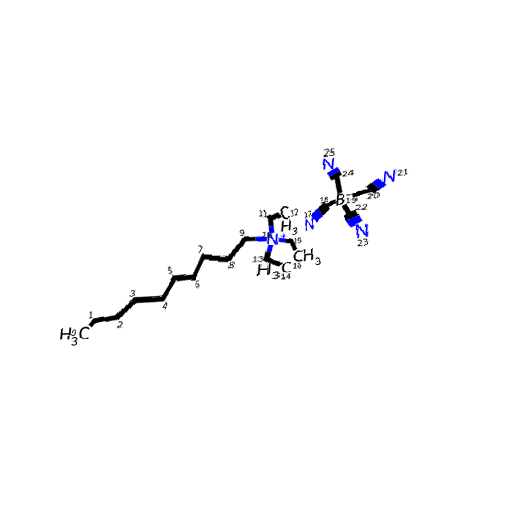 CCCCCCCCCC[N+](CC)(CC)CC.N#C[B-](C#N)(C#N)C#N